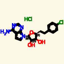 Cl.Nc1ncnc2c1ccn2[C@@H]1O[C@H](CCc2ccc(Cl)cc2)[C@@H](O)[C@H]1O